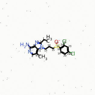 CCc1nc2c(N)ncc(C)c2n1CCC[S+]([O-])c1ccc(Cl)cc1Cl